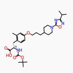 Cc1cc(OCCCC2CCN(c3nc(C(C)C)no3)CC2)ccc1C[C@H](NC(=O)OC(C)(C)C)C(=O)O